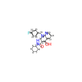 O=C(NC1CCCCC1)C1=C(O)c2cccnc2N(Cc2ccc(F)cc2)C1